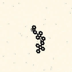 c1ccc(-c2c3ccccc3c(-c3ccc4c(c3)sc3c(-c5c6ccccc6c(-c6ccc7oc8ccccc8c7c6)c6ccccc56)cccc34)c3ccccc23)cc1